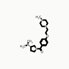 CN1CCN(CCOc2ccc(C(=O)N3CC[C@H](N(C)C)C3)cc2)CC1